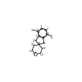 Cc1ccc(C)c2c1CC1(CCOCC1)C2